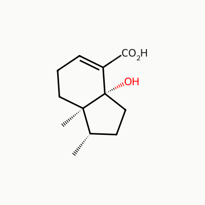 C[C@H]1CC[C@]2(O)C(C(=O)O)=CCC[C@]12C